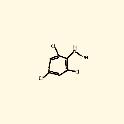 ONc1c(Cl)cc(Cl)cc1Cl